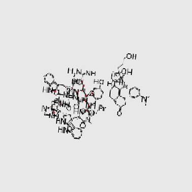 CCNC(=O)[C@@H]1CCCN1C(=O)[C@H](CCCNC(=N)N)NC(=O)[C@H](CC(C)C)N(C)C(=O)[C@@H](Cc1c[nH]c2ccccc12)NC(=O)[C@H](Cc1ccc(O)cc1)NC(=O)[C@H](CO)NC(=O)[C@H](Cc1c[nH]c2ccccc12)NC(=O)[C@H](Cc1c[nH]cn1)NC(=O)[C@@H]1CCC(=O)N1.CN(C)c1ccc([C@H]2C[C@]3(C)[C@@H](CC[C@]3(O)CCCO)[C@@H]3CCC4=CC(=O)CCC4=C32)cc1